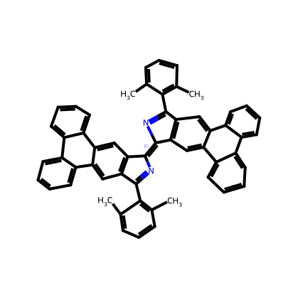 Cc1cccc(C)c1C1=N/C(=C2/N=C(c3c(C)cccc3C)c3cc4c5ccccc5c5ccccc5c4cc32)c2cc3c4ccccc4c4ccccc4c3cc21